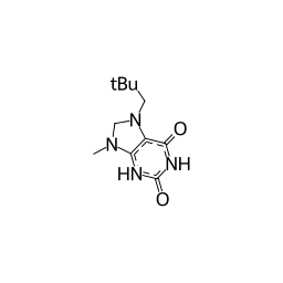 CN1CN(CC(C)(C)C)c2c1[nH]c(=O)[nH]c2=O